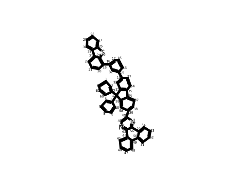 c1ccc(C2(c3ccccc3)c3cc(-c4cccc(-c5cccc6c5sc5ccccc56)c4)ccc3-c3ccc(-c4cnc5c6ccccc6c6ccccc6c5n4)cc32)cc1